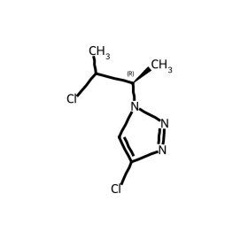 CC(Cl)[C@@H](C)n1cc(Cl)nn1